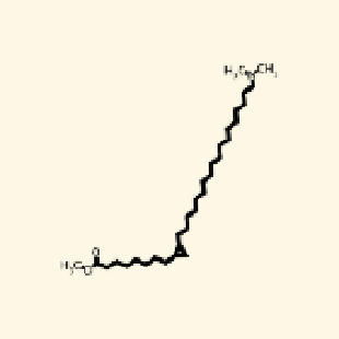 COC(=O)CCCCCCCC1CC1CCCCCCCCCCCCCCCCCCN(C)C